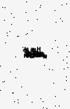 CC(C)(C)c1ccc(S(=O)(=O)Nc2ccc3[nH]c(OC(=O)Nc4ccc(C#N)cc4)c(-c4ccccc4)c3c2)cc1